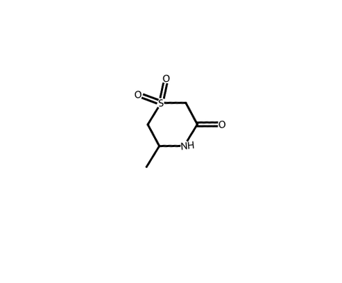 CC1CS(=O)(=O)CC(=O)N1